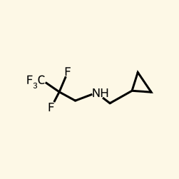 FC(F)(F)C(F)(F)CNCC1CC1